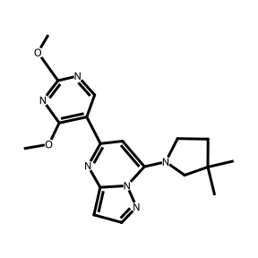 COc1ncc(-c2cc(N3CCC(C)(C)C3)n3nccc3n2)c(OC)n1